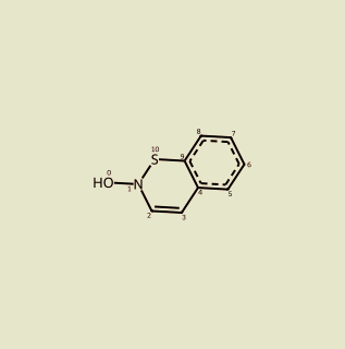 ON1C=Cc2ccccc2S1